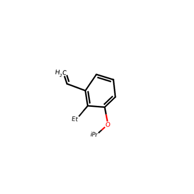 C=Cc1cccc(OC(C)C)c1CC